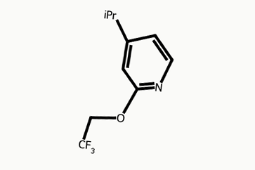 CC(C)c1ccnc(OCC(F)(F)F)c1